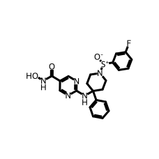 O=C(NO)c1cnc(NC2(c3ccccc3)CCN([S+]([O-])c3cccc(F)c3)CC2)nc1